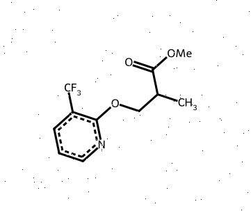 COC(=O)C(C)COc1ncccc1C(F)(F)F